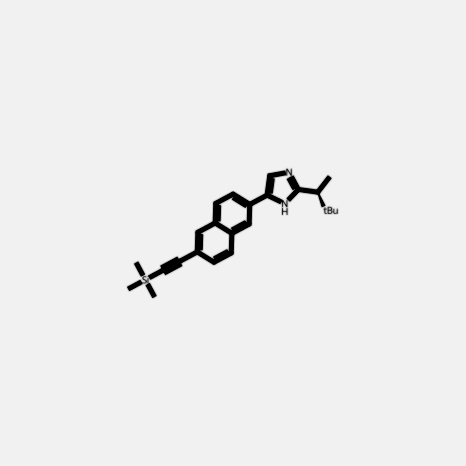 C[C@H](c1ncc(-c2ccc3cc(C#C[Si](C)(C)C)ccc3c2)[nH]1)C(C)(C)C